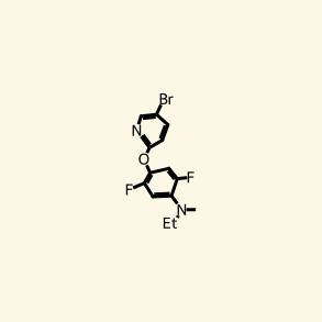 CCN(C)c1cc(F)c(Oc2ccc(Br)cn2)cc1F